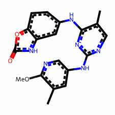 COc1ncc(Nc2ncc(C)c(Nc3ccc4oc(=O)[nH]c4c3)n2)cc1C